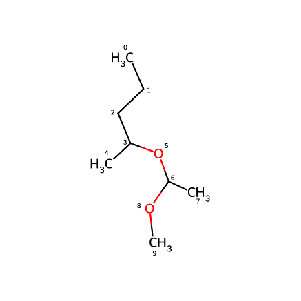 CCCC(C)OC(C)OC